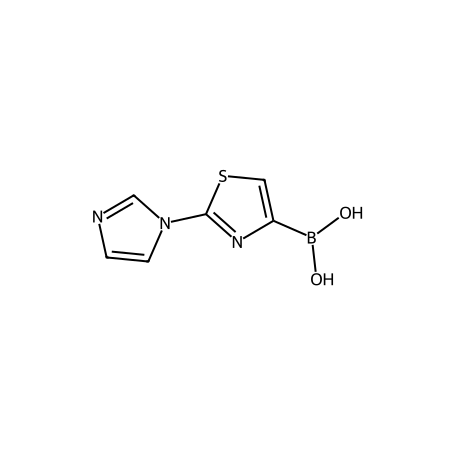 OB(O)c1csc(-n2ccnc2)n1